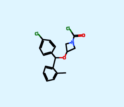 Cc1ccccc1C(OC1CN(C(=O)Cl)C1)c1ccc(Cl)cc1